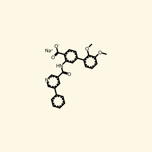 COc1cccc(-c2ccc(C(=O)[O-])c(NC(=O)c3cncc(-c4ccccc4)c3)c2)c1OC.[Na+]